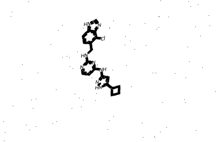 Clc1c(CNc2nccc(Nc3cc(C4CCC4)[nH]n3)n2)ccc2[nH]cnc12